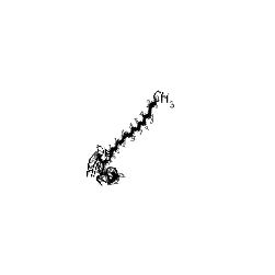 CCCCCCCCCCCCCCCCSCC(Nc1ncco1)C(=O)O